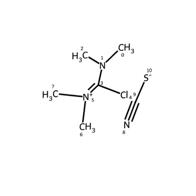 CN(C)C(Cl)=[N+](C)C.N#C[S-]